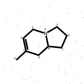 CC1=CCN2CCCC2C1